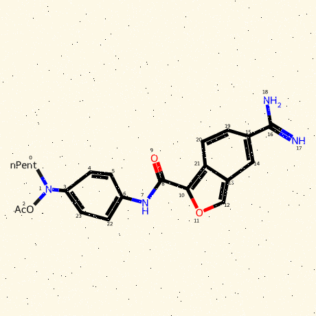 CCCCCN(OC(C)=O)c1ccc(NC(=O)c2occ3cc(C(=N)N)ccc23)cc1